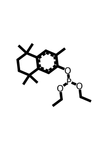 CCOP(OCC)Oc1cc2c(cc1C)C(C)(C)CCC2(C)C